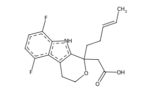 CC=CCCC1(CC(=O)O)OCCc2c1[nH]c1c(F)ccc(F)c21